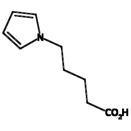 O=C(O)CCCCn1cccc1